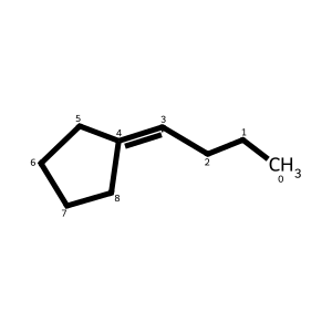 CCC[C]=C1CCCC1